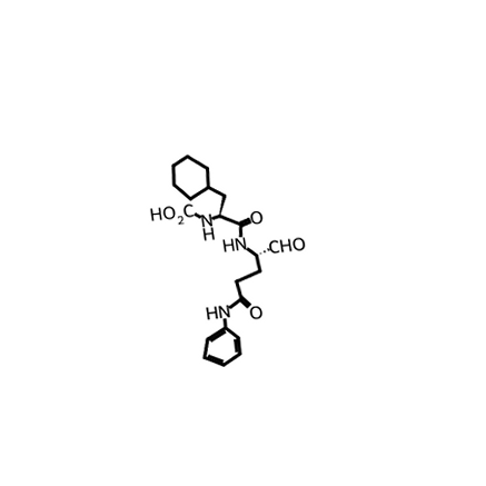 O=C[C@H](CCC(=O)Nc1ccccc1)NC(=O)[C@H](CC1CCCCC1)NC(=O)O